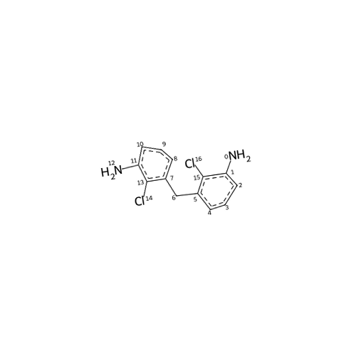 Nc1cccc(Cc2cccc(N)c2Cl)c1Cl